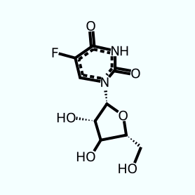 O=c1[nH]c(=O)n([C@@H]2O[C@H](CO)C(O)[C@@H]2O)cc1F